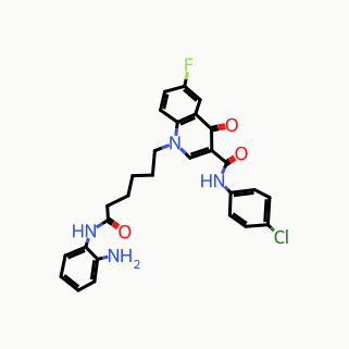 Nc1ccccc1NC(=O)CCCCCn1cc(C(=O)Nc2ccc(Cl)cc2)c(=O)c2cc(F)ccc21